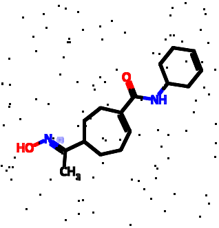 C/C(=N\O)C1CCC=C(C(=O)NC2CC=CCC2)CC1